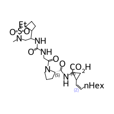 CCCCCC/C=C\C1C[C@]1(NC(=O)[C@@H]1CCCN1C(=O)CNC(=O)NC(CN(C)S(=O)(=O)CC)C1CCC1)C(=O)O